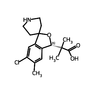 Cc1cc2c(cc1Cl)C1(CCNCC1)O[C@@H]2C(C)(C)C(=O)O